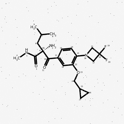 CNC(=O)[C@@](N)(CC(C)C)C(=O)c1ccc(N2CC(F)(F)C2)c(OCC2CC2)c1